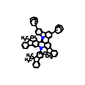 CC1(C)c2ccccc2-c2ccc(N3c4cc5c(cc4B4c6c(cc7c(c63)C(C)(C)c3ccccc3-7)-c3cc(C67CCC8CC(CC8C6)C7)cc6c7cc(C89CCC%10CC(CC%10C8)C9)ccc7n4c36)C(C)(C)c3ccccc3-5)cc21